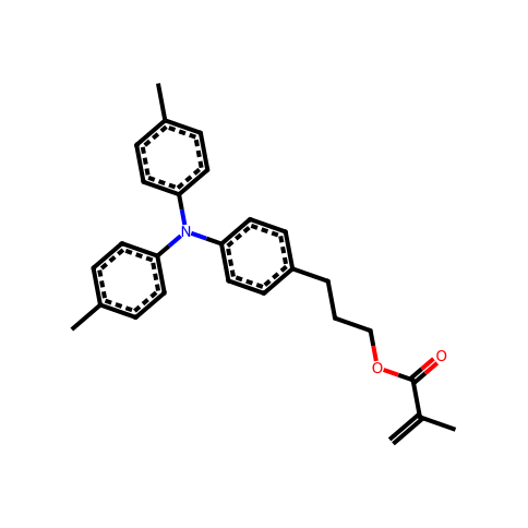 C=C(C)C(=O)OCCCc1ccc(N(c2ccc(C)cc2)c2ccc(C)cc2)cc1